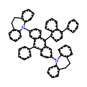 c1ccc(-c2ccc(-c3c4ccc(N5c6ccccc6CCc6ccccc65)cc4c(-c4ccccc4)c4ccc(N5c6ccccc6CCc6ccccc65)cc34)c3ccccc23)cc1